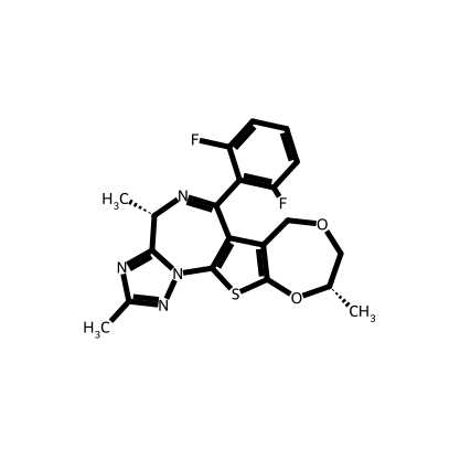 Cc1nc2n(n1)-c1sc3c(c1C(c1c(F)cccc1F)=N[C@H]2C)COC[C@H](C)O3